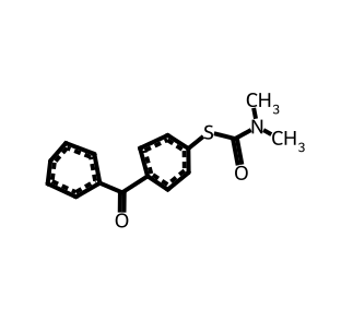 CN(C)C(=O)Sc1ccc(C(=O)c2ccccc2)cc1